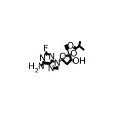 C#C[C@]1(OC(=O)C(C)C)O[C@@H](n2cnc3c(N)nc(F)nc32)C[C@@H]1O